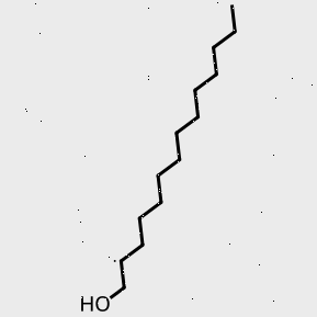 CCCCCCCCCCCC[CH]CO